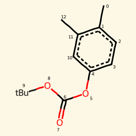 Cc1ccc(OC(=O)OC(C)(C)C)cc1C